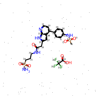 CS(=O)(=O)Nc1ccc(-c2ccnc3[nH]c(CC(=O)NCCCS(N)(=O)=O)cc23)cc1.O=C(O)C(F)(F)F